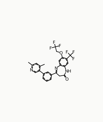 Cc1cc(C)c(-c2cccc(C3=Nc4cc(OCC(F)(F)F)c(C(F)(F)F)cc4NC(=O)C3)c2)cn1